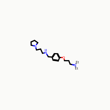 CCN(CC)CCCOc1ccc(CNCCCN2CCCC2)cc1